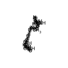 C[C@H](NC(=O)c1cccc(NC2(c3nnc(-c4ccncc4)[nH]3)CCNCC2)c1)c1cccc(OCCCCCOCCCOCC(=O)Nc2cccc3c2CN(C2CCC(=O)NC2=O)C3=O)c1